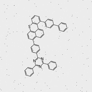 c1ccc(-c2ccc(-c3cccc4c3-c3cccc5c(-c6ccc(-c7nc(-c8ccccc8)nc(-c8ccccc8)n7)cc6)ccc(c35)S4)cc2)cc1